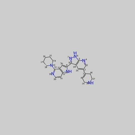 C1=C(c2cnc3[nH]nc(-c4cc5c(N6CCCCC6)nccc5[nH]4)c3c2)CCNC1